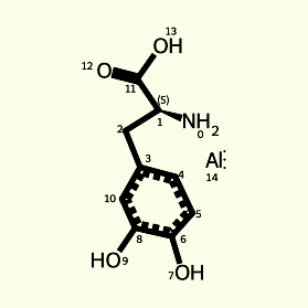 N[C@@H](Cc1ccc(O)c(O)c1)C(=O)O.[Al]